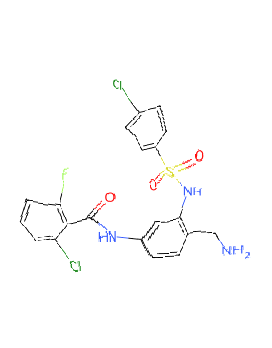 NCc1ccc(NC(=O)c2c(F)cccc2Cl)cc1NS(=O)(=O)c1ccc(Cl)cc1